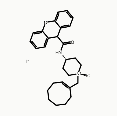 CC[N@+]1(C/C2=C/CCCCCC2)CC[C@@H](NC(=O)C2c3ccccc3Oc3ccccc32)CC1.[I-]